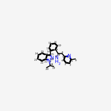 Cc1cccc(C[C@H](N)c2ccccc2-c2nn(C(C)C)c3ccccc23)n1